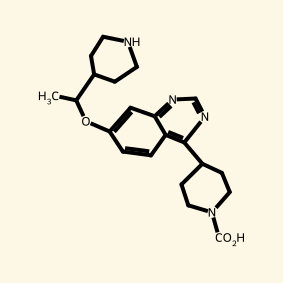 CC(Oc1ccc2c(C3CCN(C(=O)O)CC3)ncnc2c1)C1CCNCC1